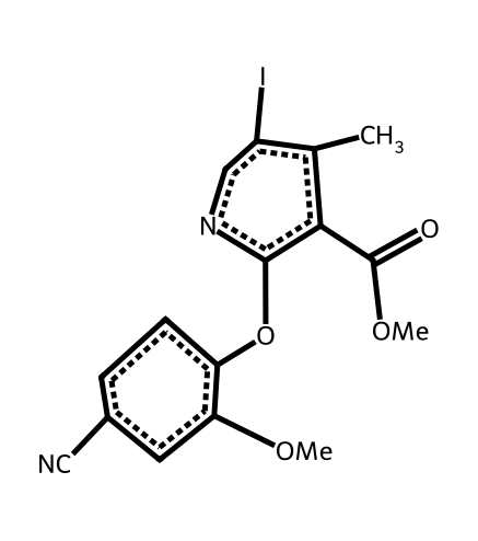 COC(=O)c1c(Oc2ccc(C#N)cc2OC)ncc(I)c1C